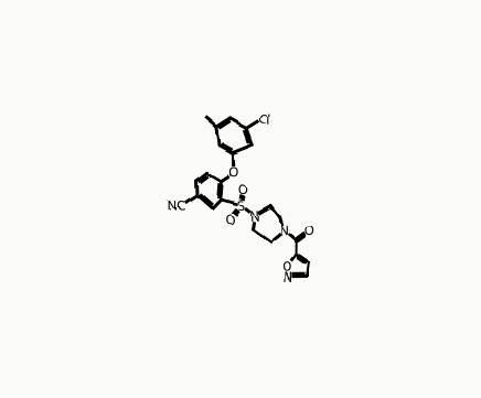 Cc1cc(Cl)cc(Oc2ccc(C#N)cc2S(=O)(=O)N2CCN(C(=O)c3ccno3)CC2)c1